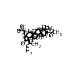 CC(=O)O[C@H]1CC[C@]2(C)[C@H]3CC[C@@H]4C5=C(C(C)C)C(=O)C[C@]5(CC[N+](=O)[O-])CC[C@@]4(C)[C@]3(C)CC[C@H]2C1(C)C